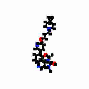 C[C@H]1Oc2c(-c3ccc(OCCCN4CCC5(CC4)CC5)nc3)ccc3ncc4c(c23)n1c(=O)n4C